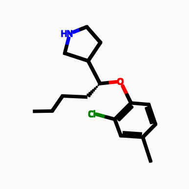 CCCC[C@@H](Oc1ccc(C)cc1Cl)C1CCNC1